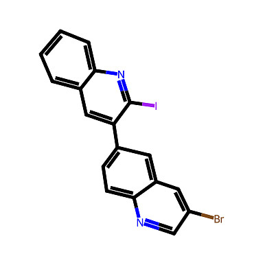 Brc1cnc2ccc(-c3cc4ccccc4nc3I)cc2c1